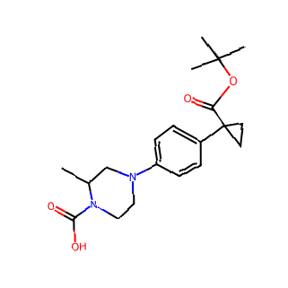 CC1CN(c2ccc(C3(C(=O)OC(C)(C)C)CC3)cc2)CCN1C(=O)O